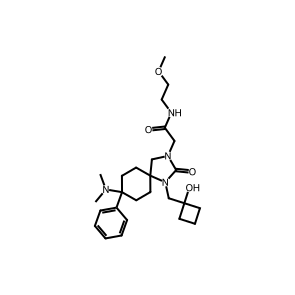 COCCNC(=O)CN1CC2(CCC(c3ccccc3)(N(C)C)CC2)N(CC2(O)CCC2)C1=O